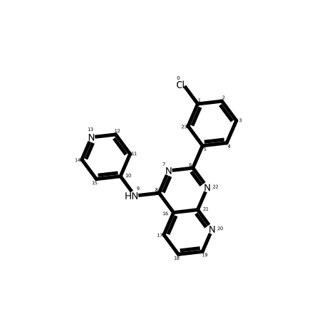 Clc1cccc(-c2nc(Nc3ccncc3)c3cccnc3n2)c1